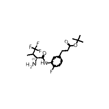 CC([C@H](N)C(=O)Nc1cc(CCC(=O)OC(C)(C)C)ccc1F)C(F)(F)F